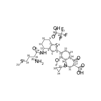 COc1c(-c2cc3c(s2)CCCC3NC(=O)[C@H](N)CCSC)ccc2c(=O)c(C(=O)O)cn(C3CC3)c12.O=C(O)C(F)(F)F